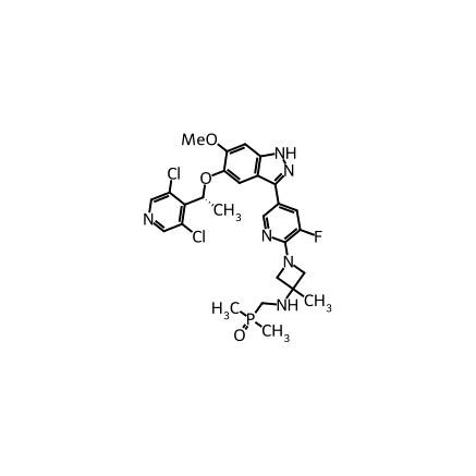 COc1cc2[nH]nc(-c3cnc(N4CC(C)(NCP(C)(C)=O)C4)c(F)c3)c2cc1O[C@H](C)c1c(Cl)cncc1Cl